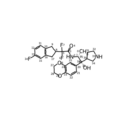 C[C@@H](NC(=O)C(F)(F)C1Cc2ccc(F)cc2C1)[C@](O)(c1ccc2c(c1)OCCO2)C1CCNC1